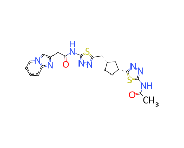 CC(=O)Nc1nnc([C@@H]2CC[C@H](Cc3nnc(NC(=O)Cc4cn5ccccc5n4)s3)C2)s1